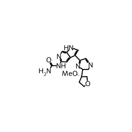 CO[C@@]1(C2CN=CC(c3c[nH]c4cnc(NC(N)=O)cc34)=N2)CCOC1